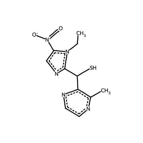 CCn1c([N+](=O)[O-])cnc1C(S)c1nccnc1C